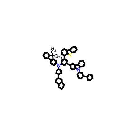 CC1(C)c2ccccc2-c2ccc(N(c3ccc(-c4ccc5ccccc5c4)cc3)c3cc(-c4ccc5c(c4)c4ccccc4n5-c4cccc(-c5ccccc5)c4)cc(-c4cccc5c4sc4ccccc45)c3)cc21